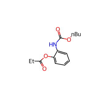 CCCCOC(=O)Nc1ccccc1OC(=O)CC